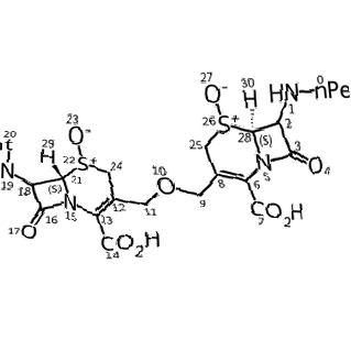 CCCCCNC1C(=O)N2C(C(=O)O)=C(COCC3=C(C(=O)O)N4C(=O)C(NCCCCC)[C@@H]4[S+]([O-])C3)C[S+]([O-])[C@@H]12